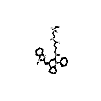 C=CS(=O)(=O)CCNC(=O)CCCN(C)C1=C/C(=C\c2oc3ccccc3[n+]2C)c2ccccc2N1c1ccccc1